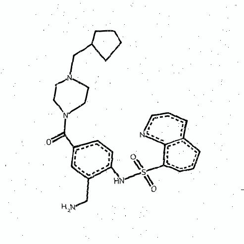 NCc1cc(C(=O)N2CCN(CC3CCCC3)CC2)ccc1NS(=O)(=O)c1cccc2cccnc12